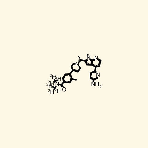 [2H]C([2H])([2H])N(C(=O)c1ccc(C2=CCN([C@@H](C)c3cc4c(-c5ccc(N)cn5)ccnc4n3C)CC2)c(C)c1)C([2H])([2H])[2H]